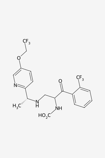 C[C@@H](NCC(NC(=O)O)C(=O)c1ccccc1C(F)(F)F)c1ccc(OCC(F)(F)F)cn1